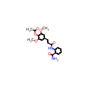 COc1cc(C=CC(=O)Nc2ccccc2C(N)=O)cc(OC)c1OC(C)=O